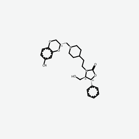 N#Cc1ccc2c(c1)O[C@@H](CN1CCC(CCN3C(=O)O[C@H](c4ccccc4)[C@H]3CO)CC1)CO2